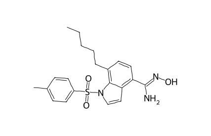 CCCCCc1ccc(/C(N)=N/O)c2ccn(S(=O)(=O)c3ccc(C)cc3)c12